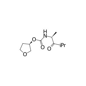 CC(C)C(=O)[C@H](C)NC(=O)O[C@@H]1CCOC1